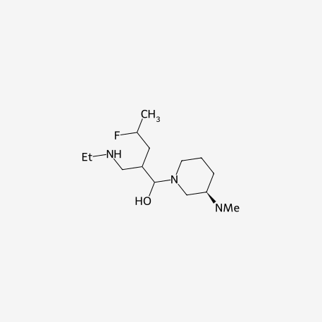 CCNCC(CC(C)F)C(O)N1CCC[C@@H](NC)C1